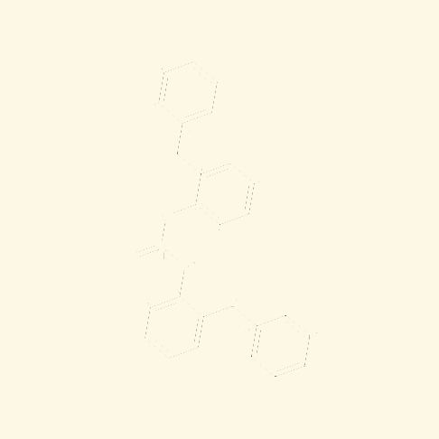 O=[PH](Oc1ccccc1Cc1ccccc1)Oc1ccccc1Cc1ccccc1